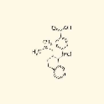 CN(C)CC1CCc2ccccc2C1Cc1ccc(C(=O)O)cc1.Cl